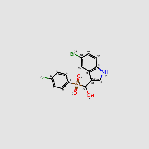 O=S(=O)(c1ccc(F)cc1)C(O)c1c[nH]c2ccc(Br)cc12